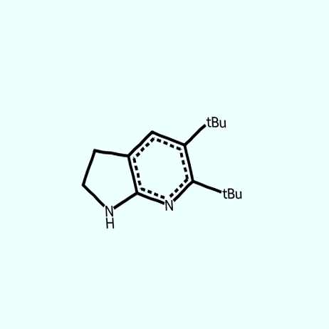 CC(C)(C)c1cc2c(nc1C(C)(C)C)NCC2